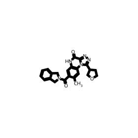 Cc1cc2c(cc1C(=O)N1Cc3ccccc3C1)[nH]c(=O)c1nnc(C3CCOC3)n12